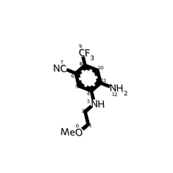 COCCNc1cc(C#N)c(C(F)(F)F)cc1N